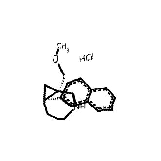 COC[C@]12CNCC[C@@]1(c1ccc3ccccc3c1)C2.Cl